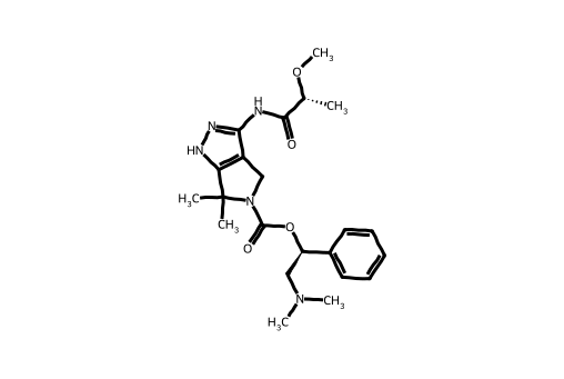 CO[C@H](C)C(=O)Nc1n[nH]c2c1CN(C(=O)O[C@H](CN(C)C)c1ccccc1)C2(C)C